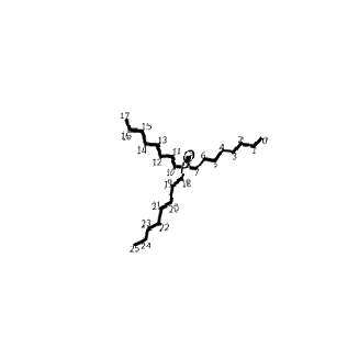 CCCCCCCCP(=O)(CCCCCCCC)CCCCCCCC